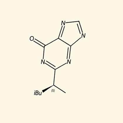 CCC(C)[C@H](C)C1=NC(=O)C2=NC=NC2=N1